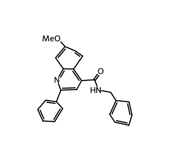 COc1ccc2c(C(=O)NCc3ccccc3)cc(-c3ccccc3)nc2c1